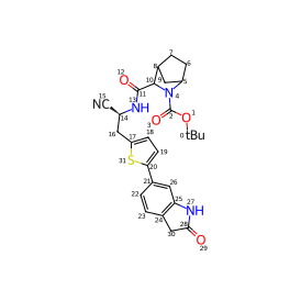 CC(C)(C)OC(=O)N1C2CCC(C2)C1C(=O)N[C@H](C#N)Cc1ccc(-c2ccc3c(c2)NC(=O)C3)s1